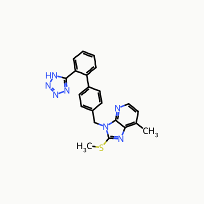 CSc1nc2c(C)ccnc2n1Cc1ccc(-c2ccccc2-c2nnn[nH]2)cc1